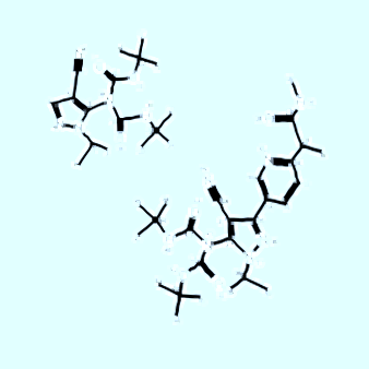 CC(C)n1ncc(C#N)c1N(C(=O)OC(C)(C)C)C(=O)OC(C)(C)C.COC(=O)C(C)c1ccc(-c2nn(C(C)C)c(N(C(=O)OC(C)(C)C)C(=O)OC(C)(C)C)c2C#N)cn1